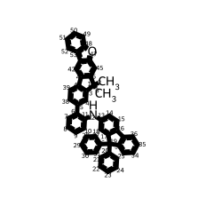 CC1(C)c2cc(-c3ccccc3Nc3ccc4c(c3)C(c3ccccc3)(c3ccccc3)c3ccccc3-4)ccc2-c2cc3c(cc21)oc1ccccc13